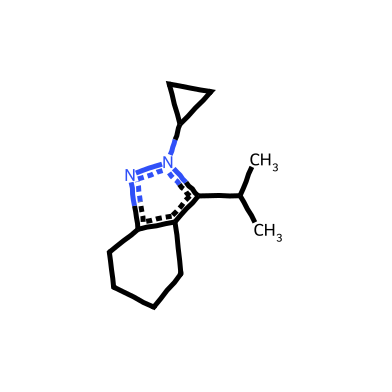 CC(C)c1c2c(nn1C1CC1)CCCC2